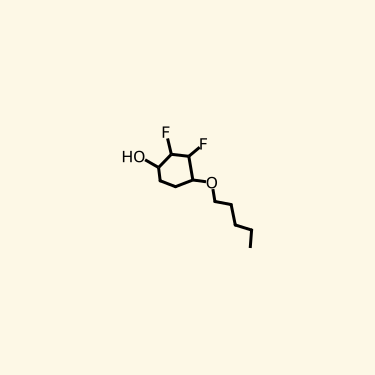 CCCCCOC1CCC(O)C(F)C1F